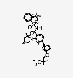 C[C@@H]1CN(c2nc(-n3ccc(OCC(C)(C)C(F)(F)F)n3)ccc2C(=O)NS(=O)(=O)c2cccc[c]2[Ge]([CH3])([CH3])[CH3])C(C)(C)C1